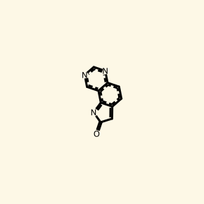 O=C1C=c2ccc3ncncc3c2=N1